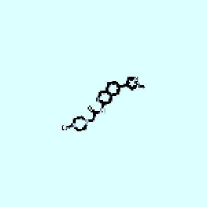 CCN1CCN(CC(=O)Nc2cc3cc(-c4cnn(C)c4)ccc3cn2)CC1